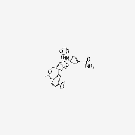 C[C@@H]1Cc2ccc(Cl)cc2-c2cc(=O)n([C@@H](C[C@@H]3COCCO3)C(=O)Nc3ccc(C(N)=O)cc3)cc2CO1